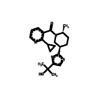 C[C@@H]1CC[C@@H](n2ncc(C(C)(C)O)n2)CN1C(=O)c1cccnc1C1CC1